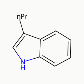 CCCc1c[nH]c2ccccc12